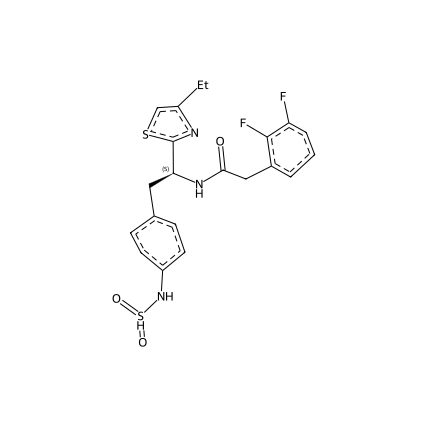 CCc1csc([C@H](Cc2ccc(N[SH](=O)=O)cc2)NC(=O)Cc2cccc(F)c2F)n1